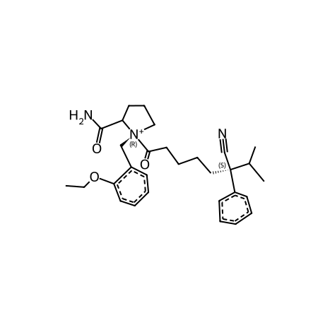 CCOc1ccccc1C[N@+]1(C(=O)CCCC[C@@](C#N)(c2ccccc2)C(C)C)CCCC1C(N)=O